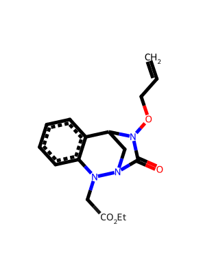 C=CCON1C(=O)N2CC1c1ccccc1N2CC(=O)OCC